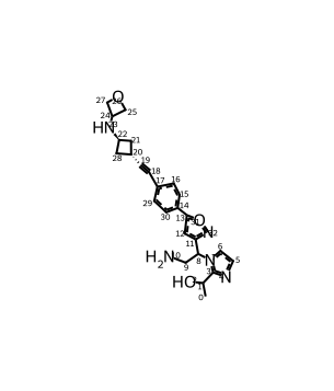 CC(O)c1nccn1C(CN)c1cc(-c2ccc(C#C[C@H]3C[C@H](NC4COC4)C3)cc2)on1